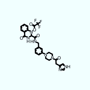 O=C1NC(C(=O)NCc2cccc(N3CCN(C(=O)Cc4c[nH]cn4)CC3)c2)N(OC(=O)C(F)(F)F)c2ccccc21